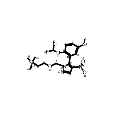 CSc1ccc(OC(F)F)c(-c2c([N+](=O)[O-])cnn2COCC[Si](C)(C)C)c1